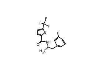 CC(Cc1cccc(F)c1)NC(=O)c1ccc(C(F)(F)F)s1